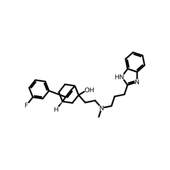 CN(CCCc1nc2ccccc2[nH]1)CCC1(O)C[C@@H]2CCC1C=C2c1cccc(F)c1